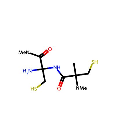 CNC(=O)C(N)(CS)NC(=O)C(C)(CS)NC